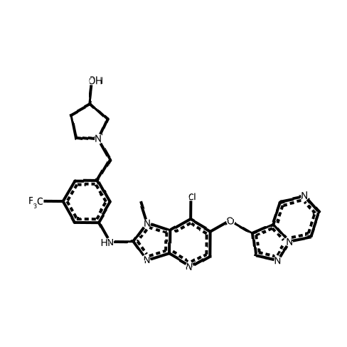 Cn1c(Nc2cc(CN3CCC(O)C3)cc(C(F)(F)F)c2)nc2ncc(Oc3cnn4ccncc34)c(Cl)c21